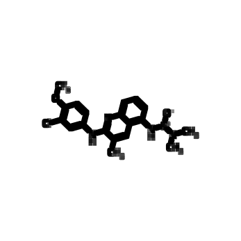 Cc1cc2c(N[S+]([O-])N(C)C)cccc2nc1Nc1ccc(OC(F)(F)F)c(Cl)c1